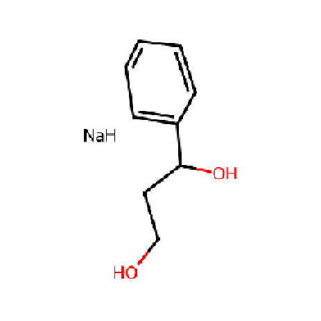 OCCC(O)c1ccccc1.[NaH]